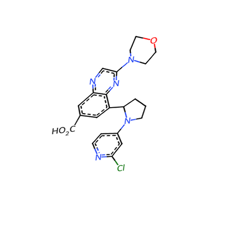 O=C(O)c1cc(C2CCCN2c2ccnc(Cl)c2)c2nc(N3CCOCC3)cnc2c1